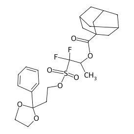 CC(OC(=O)C12CC3CC(CC(C3)C1)C2)C(F)(F)S(=O)(=O)OCCC1(c2ccccc2)OCCO1